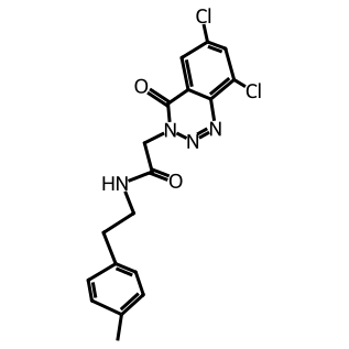 Cc1ccc(CCNC(=O)Cn2nnc3c(Cl)cc(Cl)cc3c2=O)cc1